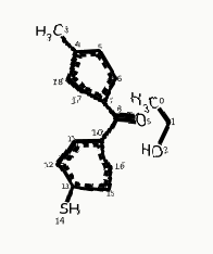 CCO.Cc1ccc(C(=O)c2ccc(S)cc2)cc1